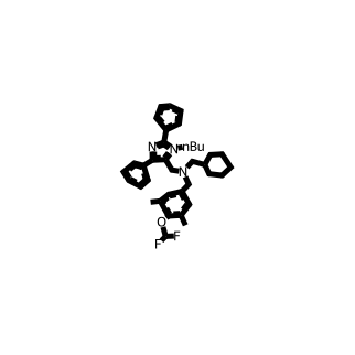 CCCCn1c(-c2ccccc2)nc(-c2ccccc2)c1CN(Cc1cc(C)c(OC(F)F)c(C)c1)CC1CCCCC1